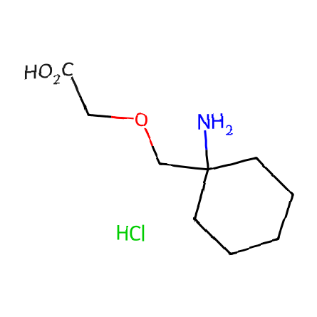 Cl.NC1(COCC(=O)O)CCCCC1